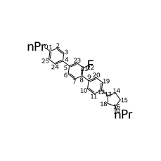 CCCc1ccc(-c2ccc(-c3ccc(C4CCC(CCC)C4)cc3)c(F)c2)cc1